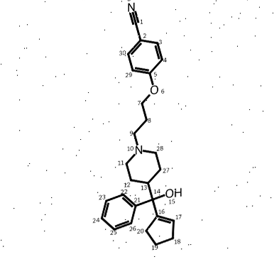 N#Cc1ccc(OCCCN2CCC(C(O)(C3=CCCC3)c3ccccc3)CC2)cc1